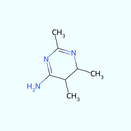 CC1=NC(C)C(C)C(N)=N1